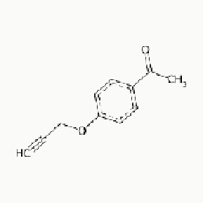 C#CCOc1ccc(C(C)=O)cc1